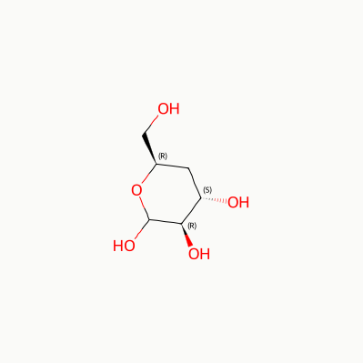 OC[C@H]1C[C@H](O)[C@@H](O)C(O)O1